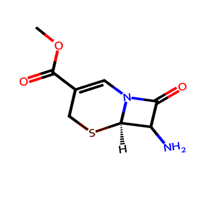 COC(=O)C1=CN2C(=O)C(N)[C@H]2SC1